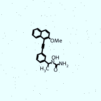 COc1ccc2ccccc2c1C#Cc1cccc(C(C)N(O)C(N)=O)c1